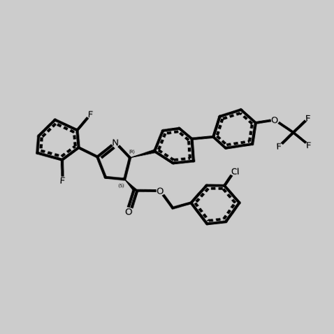 O=C(OCc1cccc(Cl)c1)[C@H]1CC(c2c(F)cccc2F)=N[C@H]1c1ccc(-c2ccc(OC(F)(F)F)cc2)cc1